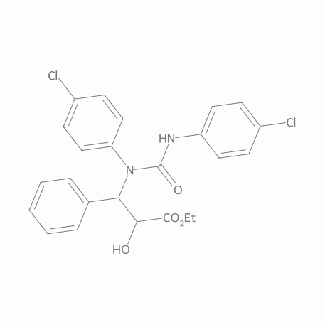 CCOC(=O)C(O)C(c1ccccc1)N(C(=O)Nc1ccc(Cl)cc1)c1ccc(Cl)cc1